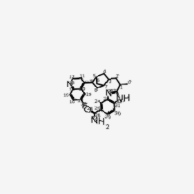 C[C@H](CC1CC2CC1CC2c1ccnc2ccc(F)cc12)c1nc2cc(C(N)=O)ccc2[nH]1